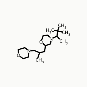 CC(CC1CN(C(C)C(C)(C)C)CCO1)CN1CCOCC1